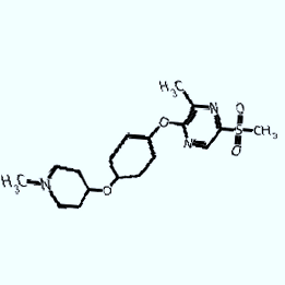 Cc1nc(S(C)(=O)=O)cnc1OC1CCC(OC2CCN(C)CC2)CC1